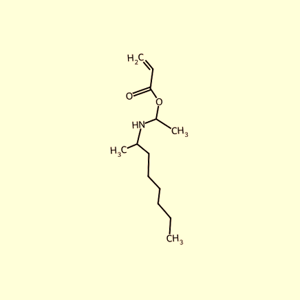 C=CC(=O)OC(C)NC(C)CCCCCC